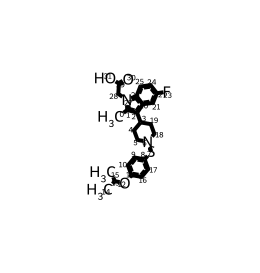 Cc1c(C2CCN(Sc3ccc(OC(C)C)cc3)CC2)c2cc(F)ccc2n1CC(=O)O